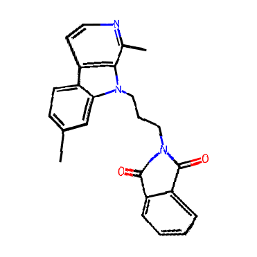 Cc1ccc2c3ccnc(C)c3n(CCCN3C(=O)c4ccccc4C3=O)c2c1